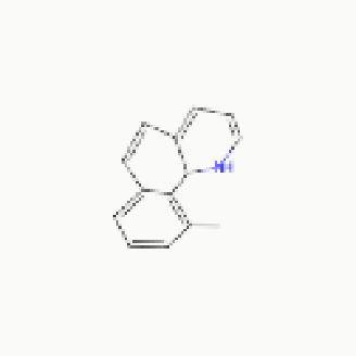 Cc1cccc2c1C1NC=CC=C1C=C2